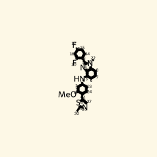 COc1cc(Nc2cccc3c2nc(-c2ccc(F)cc2F)n3C)ccc1-c1cnc(C)s1